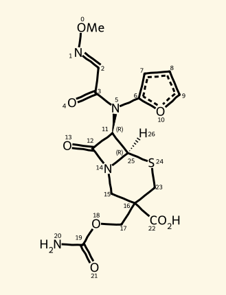 CON=CC(=O)N(c1ccco1)[C@@H]1C(=O)N2CC(COC(N)=O)(C(=O)O)CS[C@H]12